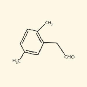 Cc1ccc(C)c(C[C]=O)c1